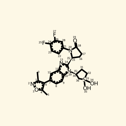 Cc1noc(C)c1-c1ccc2c(c1)nc([C@@H]1CCC(=O)N1c1ccc(F)c(F)c1)n2[C@H]1CCS(O)(O)C1